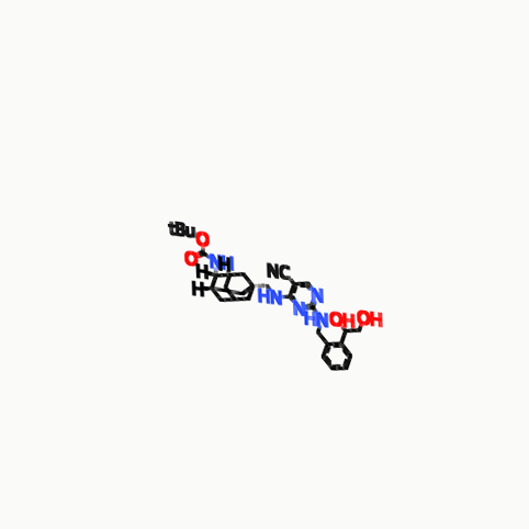 CC(C)(C)OC(=O)N[C@@H]1[C@@H]2CC3C[C@H]1C[C@](CNc1nc(NCc4ccccc4C(O)CO)ncc1C#N)(C3)C2